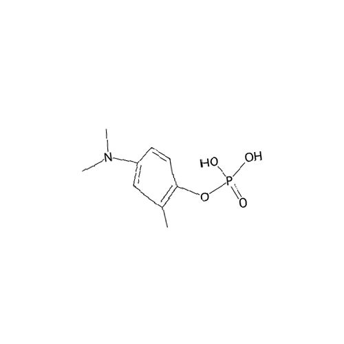 Cc1cc(N(C)C)ccc1OP(=O)(O)O